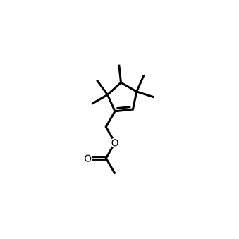 CC(=O)OCC1=CC(C)(C)C(C)C1(C)C